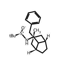 C[C@H](N[S@+]([O-])C(C)(C)C)C1[C@@H]2CC[C@H]1CN(Cc1ccccc1)C2